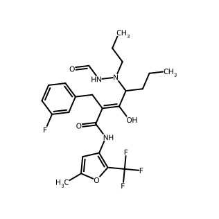 CCCC(/C(O)=C(\Cc1cccc(F)c1)C(=O)Nc1cc(C)oc1C(F)(F)F)N(CCC)NC=O